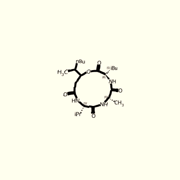 CCCCC(C)C1CC(=O)N[C@@H](C(C)C)C(=O)N[C@@H](C)C(=O)N[C@H]([C@@H](C)CC)C(=O)O1